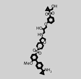 COc1ccc(S(=O)(=O)N2CCC3(CC2)C[C@@H](NCC(O)COc2cccc(S(=O)(=O)C4(CO)CC4)c2)CO3)cc1-c1ccc(C2(N)CC2)cc1